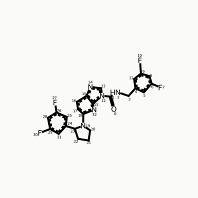 O=C(NCc1cc(F)cc(F)c1)n1cnc2ccc(N3CCCC3c3cc(F)cc(F)c3)nc21